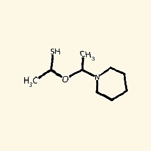 CC(S)OC(C)N1CCCCC1